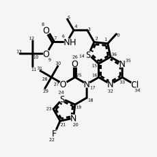 Cc1c(CC(C)NC(=O)OC(C)(C)C)sc2c(N(Cc3nc(F)cs3)C(=O)OC(C)(C)C)nc(Cl)nc12